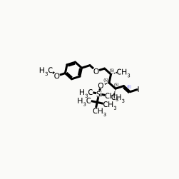 COc1ccc(COC[C@H](C)[C@@H](O[Si](C)(C)C(C)(C)C)[C@@H](C)/C=C/I)cc1